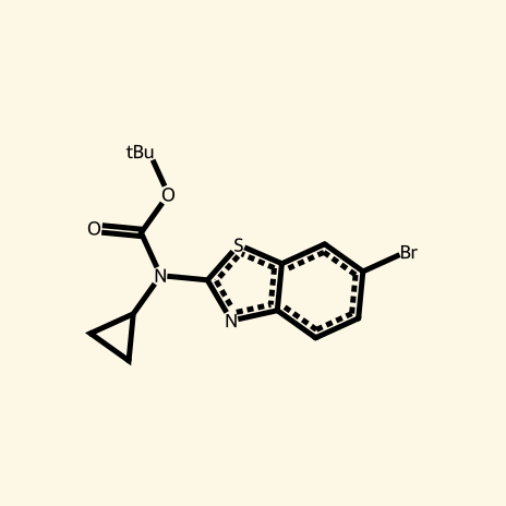 CC(C)(C)OC(=O)N(c1nc2ccc(Br)cc2s1)C1CC1